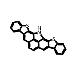 c1ccc2c(c1)sc1c2cc2ccc3cc4c5ccccc5sc4c4[nH]c1c2c34